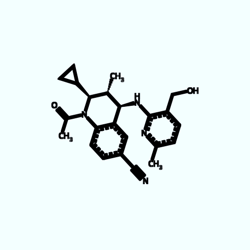 CC(=O)N1c2ccc(C#N)cc2[C@H](Nc2nc(C)ccc2CO)[C@@H](C)[C@@H]1C1CC1